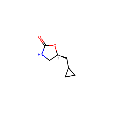 O=C1NC[C@H](CC2CC2)O1